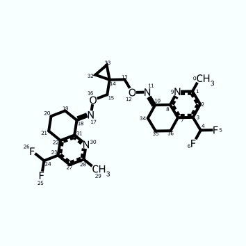 Cc1cc(C(F)F)c2c(n1)/C(=N/OCC1(CO/N=C3\CCCc4c(C(F)F)cc(C)nc43)CC1)CCC2